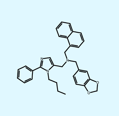 CCCCn1c(CN(Cc2ccc3c(c2)OCO3)Cc2cccc3ccccc23)cnc1-c1ccccc1